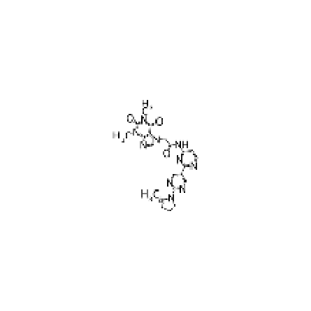 C[C@H]1CCCN1c1ncc(-c2nccc(NC(=O)Cn3cnc4c3c(=O)n(C)c(=O)n4C)n2)cn1